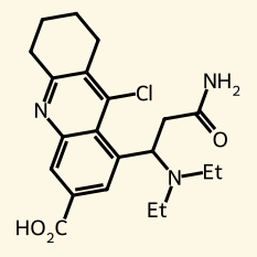 CCN(CC)C(CC(N)=O)c1cc(C(=O)O)cc2nc3c(c(Cl)c12)CCCC3